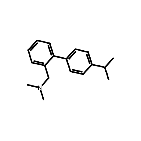 CC(C)c1ccc(-c2ccccc2CN(C)C)cc1